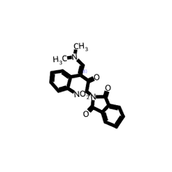 CN(C)/C=C(/C(=O)CN1C(=O)c2ccccc2C1=O)c1ccccc1[N+](=O)[O-]